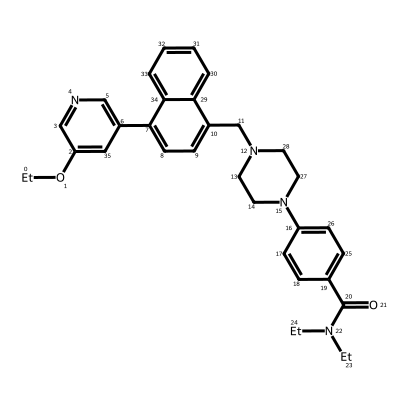 CCOc1cncc(-c2ccc(CN3CCN(c4ccc(C(=O)N(CC)CC)cc4)CC3)c3ccccc23)c1